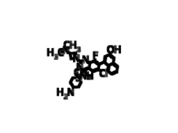 CN(C)C1CN(c2nc(N[S@]3(C)CC[C@H](N)CC3)c3cc(Cl)c(-c4cc(O)cc5ccccc45)c(F)c3n2)C1